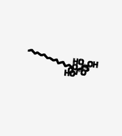 CCCCCCCCCCCCCCC(=O)O[C@H](CO)[C@H]1OC[C@H](O)[C@H]1O